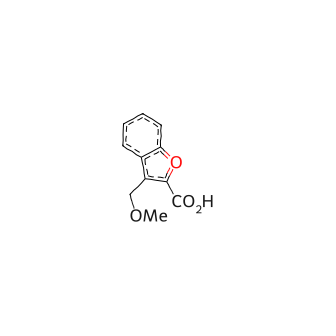 COCc1c(C(=O)O)oc2ccccc12